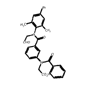 Cc1cc(C(C)C)cc(C)c1N(CC=O)C(=O)c1cccc(N(CC(=O)O)C(=O)c2ccccc2)c1